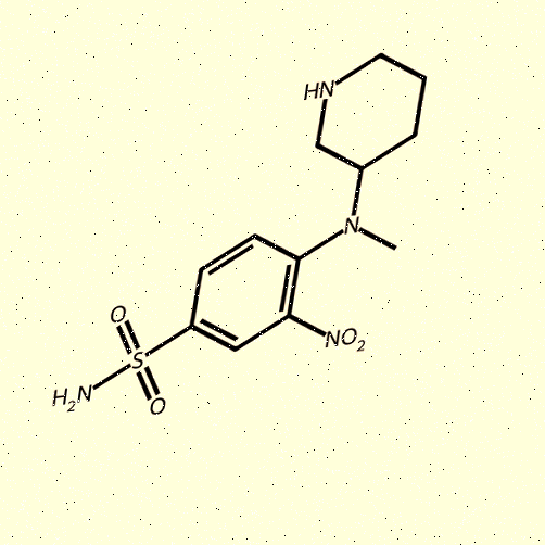 CN(c1ccc(S(N)(=O)=O)cc1[N+](=O)[O-])C1CCCNC1